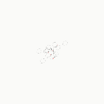 c1ccc(-c2ccc(N(c3ccccc3)c3cccc4ccc5c(c34)c3c4c(N(c6ccccc6)c6ccc(-c7ccccc7)cc6)cccc4ccc3n5-c3ccccc3)cc2)cc1